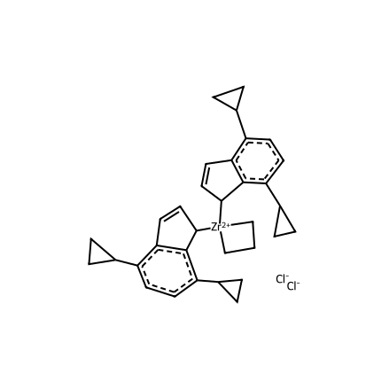 C1=C[CH]([Zr+2]2([CH]3C=Cc4c(C5CC5)ccc(C5CC5)c43)[CH2]C[CH2]2)c2c(C3CC3)ccc(C3CC3)c21.[Cl-].[Cl-]